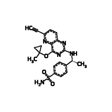 C#Cc1ccc2nc(N[C@H](C)c3ccc(S(N)(=O)=O)cc3)nc(OC3(C)CC3)c2n1